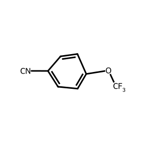 [C-]#[N+]c1ccc(OC(F)(F)F)cc1